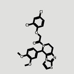 COc1ccc(C2c3c(nc4sccn34)CCN2C(=O)COc2ccc(Cl)cc2Cl)cc1OC